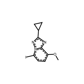 COc1ccc(I)n2nc(C3CC3)nc12